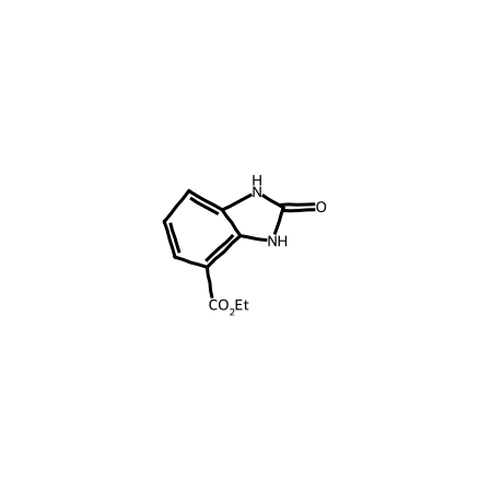 CCOC(=O)c1cccc2[nH]c(=O)[nH]c12